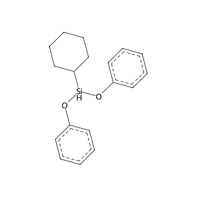 c1ccc(O[SiH](Oc2ccccc2)C2CCCCC2)cc1